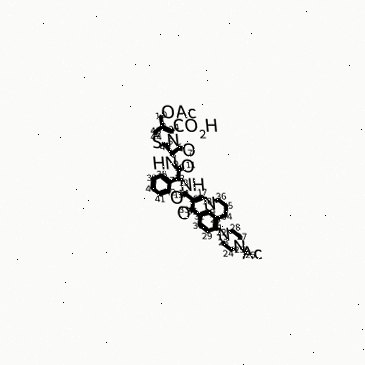 CC(=O)OCC1=C(C(=O)O)N2C(=O)C(NC(=O)C(NC(=O)c3cn4c5c(c(N6CCN(C(C)=O)CC6)ccc5c3=O)CCC4)c3ccccc3)C2SC1